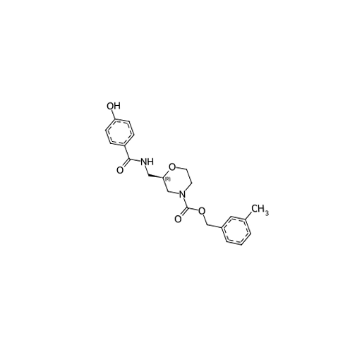 Cc1cccc(COC(=O)N2CCO[C@H](CNC(=O)c3ccc(O)cc3)C2)c1